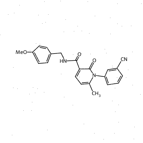 COc1ccc(CNC(=O)c2ccc(C)n(-c3cccc(C#N)c3)c2=O)cc1